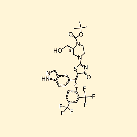 CC(C)(C)OC(=O)N1CCN(C2=NC(=O)C(=C(Cc3ccc(C(F)(F)F)cc3C(F)(F)F)c3ccc4[nH]ncc4c3)S2)C[C@H]1CO